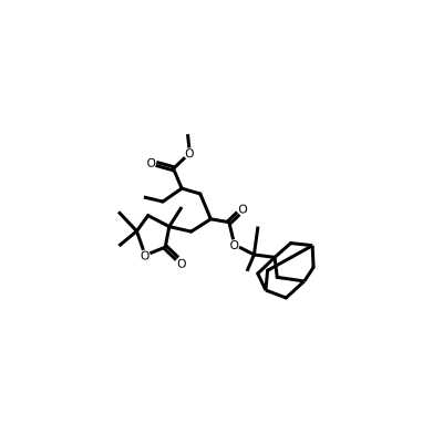 CCC(CC(CC1(C)CC(C)(C)OC1=O)C(=O)OC(C)(C)C12CC3CC(CC(C3)C1)C2)C(=O)OC